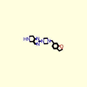 c1cc2c(cc1CN1CCN(c3ncc4c(n3)CCNC4)CC1)OCC2